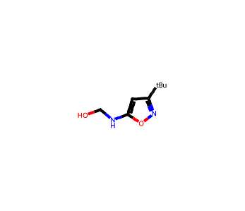 CC(C)(C)c1cc(NCO)on1